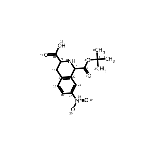 CC(C)(C)OC(=O)C1NC(C(=O)O)Cc2ccc([N+](=O)[O-])cc21